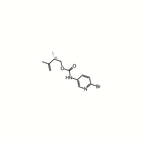 C=C(C)[C@H](C)COC(=O)Nc1ccc(Br)nc1